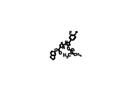 CN(C)C(=O)Oc1cc(-c2ccc(F)c(F)c2)nn1-c1nc(C(=O)Oc2ccc3c(c2)CCC3)cs1